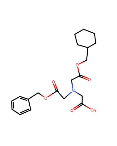 O=C(O)CN(CC(=O)OCc1ccccc1)CC(=O)OCC1CCCCC1